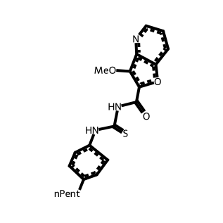 CCCCCc1ccc(NC(=S)NC(=O)c2oc3cccnc3c2OC)cc1